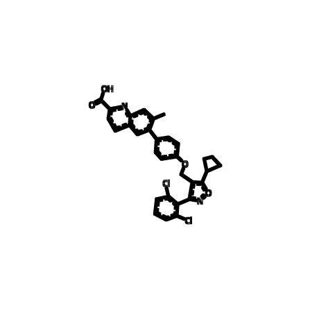 Cc1cc2nc(C(=O)O)ccc2cc1-c1ccc(OCc2c(-c3c(Cl)cccc3Cl)noc2C2CCC2)cc1